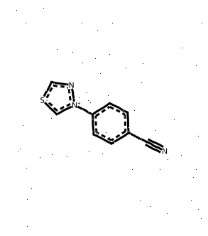 N#Cc1ccc(-[n+]2cscn2)cc1